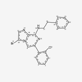 Clc1ccccc1-c1cn2c(Br)cnc2c(NCCc2ccccc2)n1